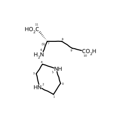 C1CNCCN1.N[C@@H](CCC(=O)O)C(=O)O